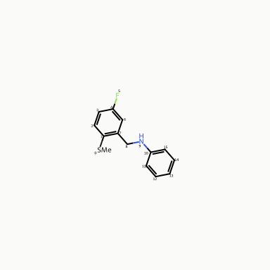 CSc1ccc(F)cc1CNc1[c]cccc1